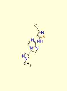 CN1CC(C2CN=C3C(Nc4cc(C5CC5)ns4)=NC=CN32)C=N1